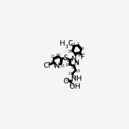 Cc1ccc(F)c(-n2nc(CCNC(=O)O)cc2Sc2ccc(Cl)nc2)c1